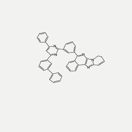 C1=Cc2nc3c4ccccc4c(-c4cccc(-c5nc(-c6ccccc6)cc(-c6cccc(-c7ccccc7)c6)n5)c4)nc3n2CC1